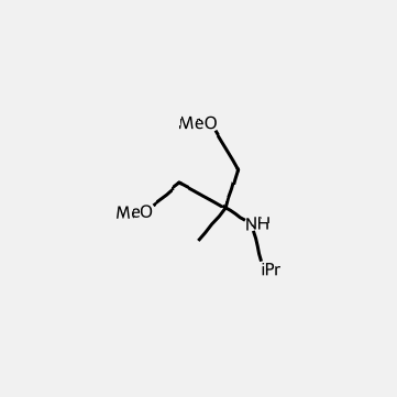 COCC(C)(COC)NC(C)C